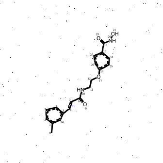 Cc1cccc(/C=C/C(=O)NCCOc2ccc(C(=O)NO)cc2)c1